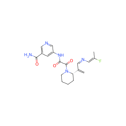 C=C(/C=N\C=C(/C)F)[C@@H]1CCCCN1C(=O)C(=O)Nc1cncc(C(N)=O)c1